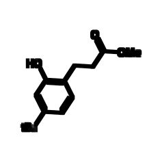 COC(=O)CCc1ccc(C(C)(C)C)cc1O